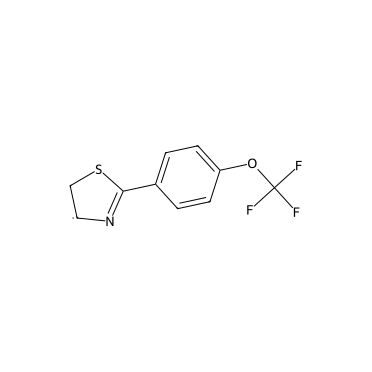 FC(F)(F)Oc1ccc(C2=N[CH]CS2)cc1